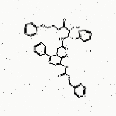 CC(=O)O[C@@H](C(=O)CCCOc1ccccn1)[C@H](Cc1ccccc1)NC(=O)Cn1c(-c2ccccc2)ncc(NC(=O)OCc2ccncc2)c1=O